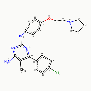 Cc1c(N)nc(Nc2ccc(OCCN3CCCC3)cc2)nc1-c1ccc(Cl)cc1